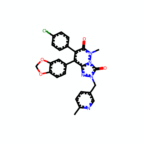 Cc1ccc(Cn2nc3c(-c4ccc5c(c4)OCO5)c(-c4ccc(Cl)cc4)c(=O)n(C)n3c2=O)cn1